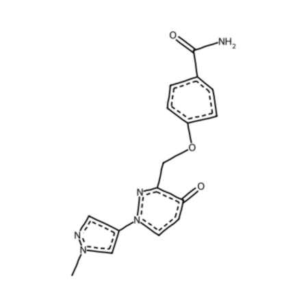 Cn1cc(-n2ccc(=O)c(COc3ccc(C(N)=O)cc3)n2)cn1